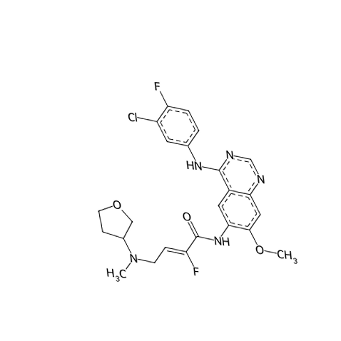 COc1cc2ncnc(Nc3ccc(F)c(Cl)c3)c2cc1NC(=O)/C(F)=C/CN(C)C1CCOC1